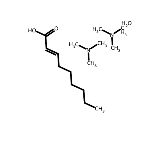 CCCCCCC=CC(=O)O.CN(C)C.CN(C)C.O